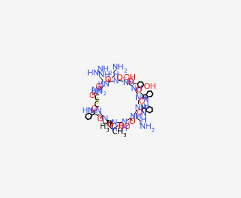 CC(C)C[C@@H]1NC(=O)[C@@H]2CCCN2C(=O)[C@@H](Cc2c[nH]c3ccccc23)NC(=O)CSC[C@@H](C(N)=O)NC(=O)[C@H](CCCNC(=N)N)NC(=O)[C@H](CCCCN)NC(=O)[C@H](CO)NC(=O)[C@H](Cc2ccc(O)cc2)NC(=O)[C@H](Cc2c[nH]c3ccccc23)NC(=O)[C@H](Cc2c[nH]c3ccccc23)NC(=O)[C@H](CCCCN)NC(=O)[C@H](CO)NC1=O